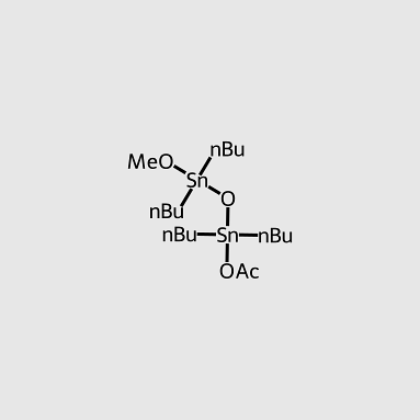 CCC[CH2][Sn]([CH2]CCC)([O]C)[O][Sn]([CH2]CCC)([CH2]CCC)[O]C(C)=O